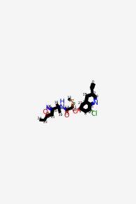 C#Cc1cnc2c(Cl)cc(OC(SC)C(=O)NC(C)(C)c3cc(CC)on3)cc2c1